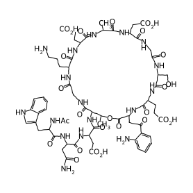 CC(=O)NC(Cc1c[nH]c2ccccc12)C(=O)NC(CC(N)=O)C(=O)NC(CC(=O)O)C(=O)NC1C(=O)NCC(=O)NC(CCCN)C(=O)NC(CC(=O)O)C(=O)NC(C)C(=O)NC(CC(=O)O)C(=O)NCC(=O)NC(CO)C(=O)NC(CCC(=O)O)C(=O)NC(CC(=O)c2ccccc2N)C(=O)OC1C